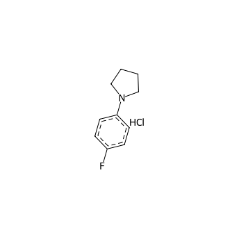 Cl.Fc1ccc(N2CCCC2)cc1